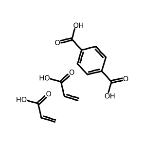 C=CC(=O)O.C=CC(=O)O.O=C(O)c1ccc(C(=O)O)cc1